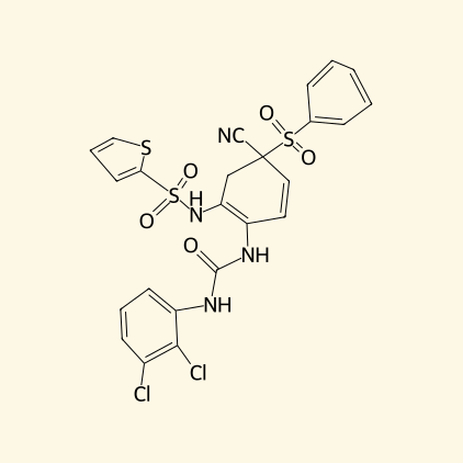 N#CC1(S(=O)(=O)c2ccccc2)C=CC(NC(=O)Nc2cccc(Cl)c2Cl)=C(NS(=O)(=O)c2cccs2)C1